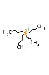 CC=CP(Cl)(CCCC)(CCCC)CCCC